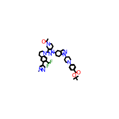 CC(=O)N1CCc2c(c(N3CCCc4cc(-c5cnn(C)c5)c(C(F)F)cc43)nn2C2CCc3c(cnn3C3CCN(c4ccc(C(=O)OC(C)(C)C)cc4)CC3)C2)C1